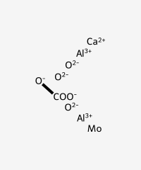 O=C([O-])[O-].[Al+3].[Al+3].[Ca+2].[Mo].[O-2].[O-2].[O-2]